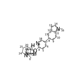 C[C@H]1[C@H](Oc2ccc(-c3ccc4c(ccn4C)c3)cn2)C2CCN1CC2